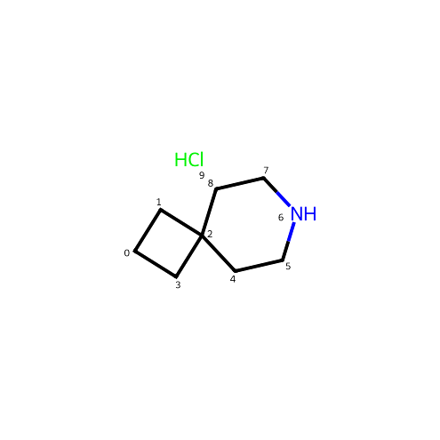 C1CC2(C1)CCNCC2.Cl